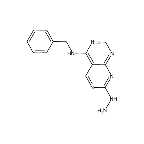 NNc1ncc2c(NCc3ccccc3)ncnc2n1